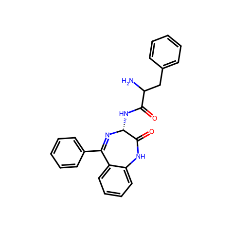 NC(Cc1ccccc1)C(=O)N[C@H]1N=C(c2ccccc2)c2ccccc2NC1=O